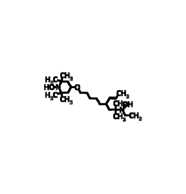 C/C=C/C(CCCCCOC1CC(C)(C)N(O)C(C)(C)C1)CC(C)(C)N(O)CC